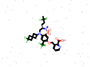 CN1[C@H](CCC(C)(F)F)CN(C2CC3(C2)CC(F)(F)C3)c2cc(C(F)(F)F)c(OCc3cccnc3C(=O)O)cc2S1(=O)=O